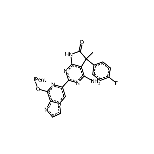 CCCC(C)Oc1nc(-c2nc(N)c3c(n2)NC(=O)C3(C)c2ccc(F)cc2)cn2ccnc12